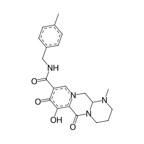 Cc1ccc(CNC(=O)c2cn3c(c(O)c2=O)C(=O)N2CCCN(C)C2C3)cc1